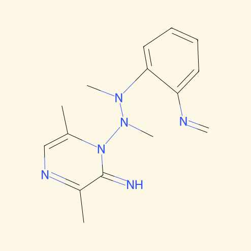 C=Nc1ccccc1N(C)N(C)n1c(C)cnc(C)c1=N